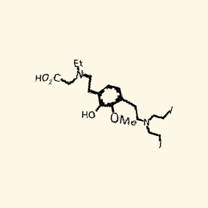 CCN(CCc1ccc(CCN(CCI)CCI)c(OC)c1O)CC(=O)O